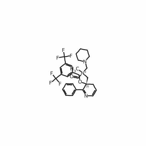 C[N+](C=O)(CN1CCCCC1)C[C@@]1(OCc2cc(C(F)(F)F)cc(C(F)(F)F)c2)CC=CN=C1c1ccccc1